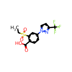 CCS(=O)(=O)c1cc(-n2ccc(C(F)(F)F)n2)ccc1C(=O)O